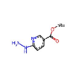 CCCCOC(=O)c1ccc(NN)nc1